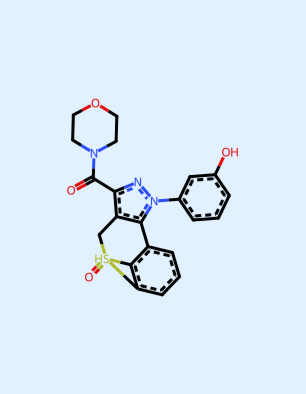 O=C(c1nn(-c2cccc(O)c2)c2c1C[SH]1(=O)c3cccc-2c31)N1CCOCC1